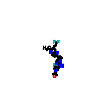 CC1=Nc2ccc(-c3ccn4nc(N[C@H]5CN(C6COC6)C[C@H]5F)ncc34)nc2C[C@@H]1CCC(F)F